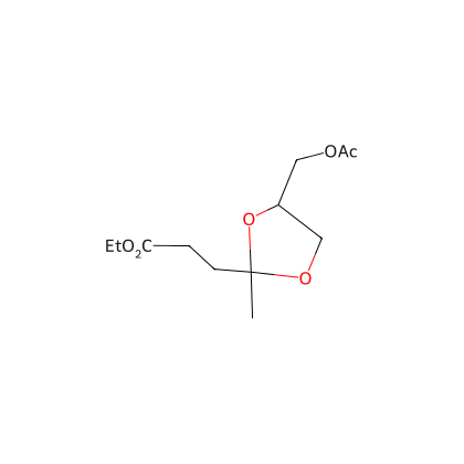 CCOC(=O)CCC1(C)OCC(COC(C)=O)O1